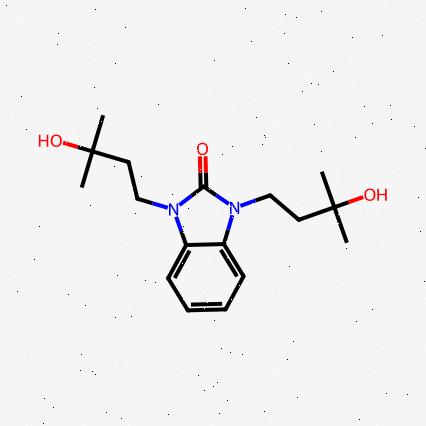 CC(C)(O)CCn1c(=O)n(CCC(C)(C)O)c2ccccc21